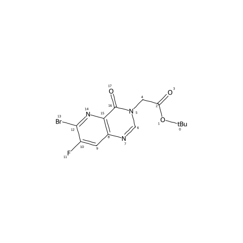 CC(C)(C)OC(=O)Cn1cnc2cc(F)c(Br)nc2c1=O